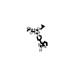 C[C@H](NC(=O)c1nc(OCC2CC2)nc(N2CCC(c3n[nH]c4ncccc34)CC2)n1)C(F)(F)F